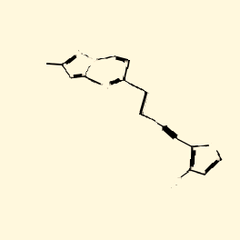 Cc1cc2nc(CCC#Cc3sccc3C)ccn2n1